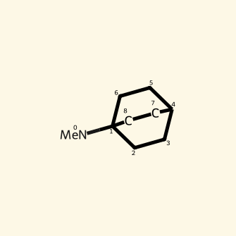 [CH2]NC12CCC(CC1)CC2